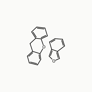 c1ccc2c(c1)Cc1ccccc1O2.c1ccc2cocc2c1